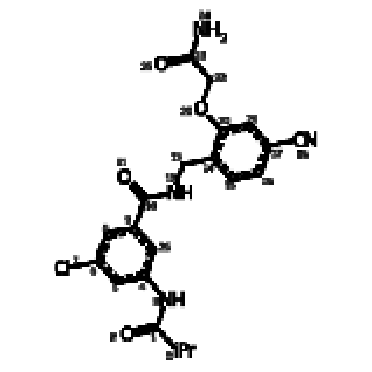 CC(C)C(=O)Nc1cc(Cl)cc(C(=O)NCc2ccc(C#N)cc2OCC(N)=O)c1